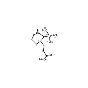 COC(=O)CCN1CCCNC1[Si](C)(C)C(C)(C)C